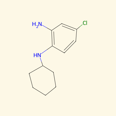 Nc1cc(Cl)ccc1NC1CCCCC1